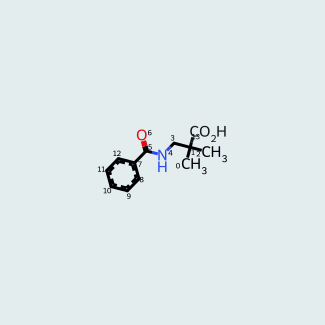 CC(C)(CNC(=O)c1ccccc1)C(=O)O